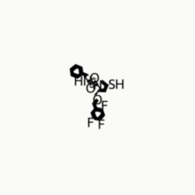 O=S(=O)(NCc1ccccc1)N1C[C@H](S)C[C@H]1COCc1cc(F)c(F)cc1F